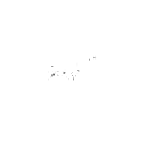 CCCCPOS(=O)(=O)CCC[Si](C)(C)C